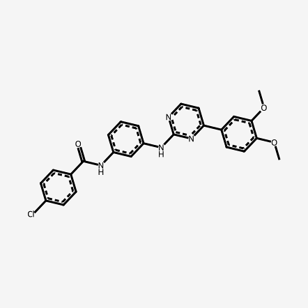 COc1ccc(-c2ccnc(Nc3cccc(NC(=O)c4ccc(Cl)cc4)c3)n2)cc1OC